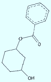 O=C(OC1CCCC(O)C1)c1ccccc1